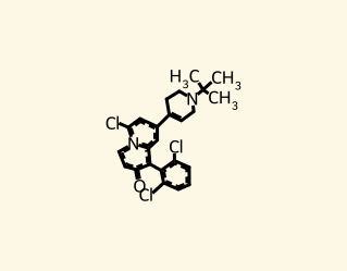 CC(C)(C)N1CC=C(c2cc(Cl)n3ccc(=O)c(-c4c(Cl)cccc4Cl)c3c2)CC1